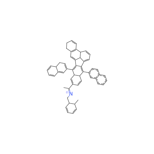 C/C(=N\CC1C=CC=CC1C)C1=CC2C(C3=CCC4C=CC=CC4=C3)=C3C4=CC5=C(C=CCC5)C5C=CC=C(C3=C(c3ccc6ccccc6c3)C2C=C1)C45